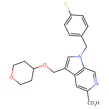 O=C(O)c1cc2c(COC3CCOCC3)cn(Cc3ccc(F)cc3)c2cn1